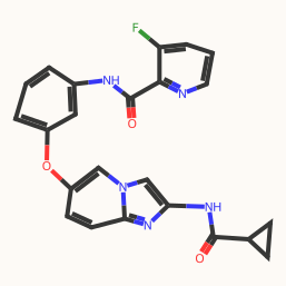 O=C(Nc1cccc(Oc2ccc3nc(NC(=O)C4CC4)cn3c2)c1)c1ncccc1F